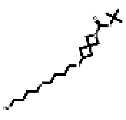 CC(C)(C)OC(=O)N1CC2(CC(OCCCCOCCCCO)C2)C1